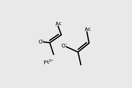 CC(=O)/C=C(/C)[O-].CC(=O)/C=C(/C)[O-].[Pt+2]